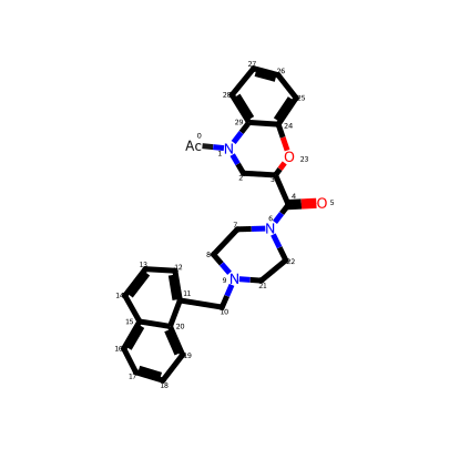 CC(=O)N1CC(C(=O)N2CCN(Cc3cccc4ccccc34)CC2)Oc2ccccc21